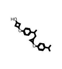 CC(C)c1ccc(OC2CC2CC(C)c2ccc(OC3CC(O)C3)cc2)cc1